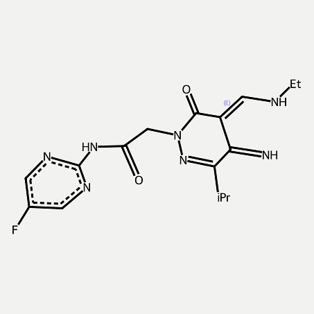 CCN/C=C1\C(=N)C(C(C)C)=NN(CC(=O)Nc2ncc(F)cn2)C1=O